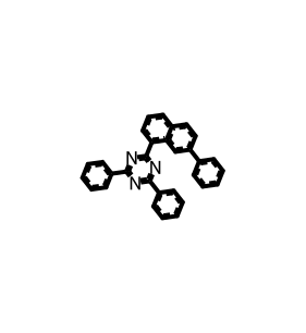 c1ccc(-c2ccc3cccc(-c4nc(-c5ccccc5)nc(-c5ccccc5)n4)c3c2)cc1